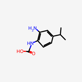 CC(C)c1ccc(NC(=O)O)c(N)c1